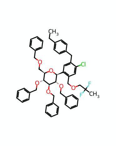 CCc1ccc(Cc2cc([C@@H]3O[C@H](COCc4ccccc4)[C@@H](OCc4ccccc4)[C@H](OCc4ccccc4)[C@H]3OCc3ccccc3)c(COCC(C)(F)F)cc2Cl)cc1